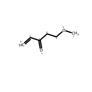 [CH]=CC(=O)CCOC